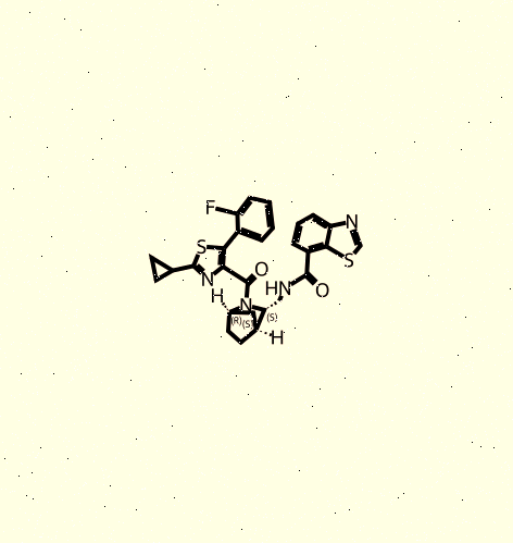 O=C(NC[C@@H]1[C@H]2CC[C@H](C2)N1C(=O)c1nc(C2CC2)sc1-c1ccccc1F)c1cccc2ncsc12